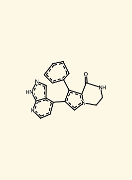 O=C1NCCn2cc(-c3ccnc4[nH]ncc34)c(-c3ccccc3)c21